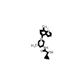 Cc1ccc(N2C[C@@H](C)C[C@@H](NC(=O)C(O)C3CC3)C2)c2cccnc12